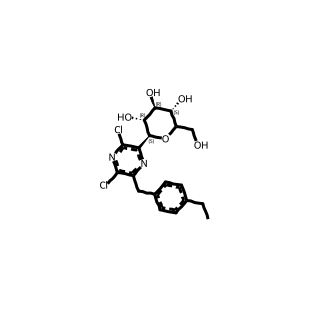 CCc1ccc(Cc2nc([C@@H]3OC(CO)[C@@H](O)[C@H](O)[C@H]3O)c(Cl)nc2Cl)cc1